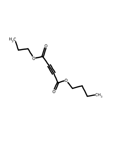 CCCCOC(=O)C#CC(=O)OCCC